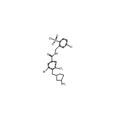 CCS(=O)(=O)c1ccc(Cl)cc1CNC(=O)c1cc(Br)c(CN2CCC(N)C2)c(C(F)(F)F)c1